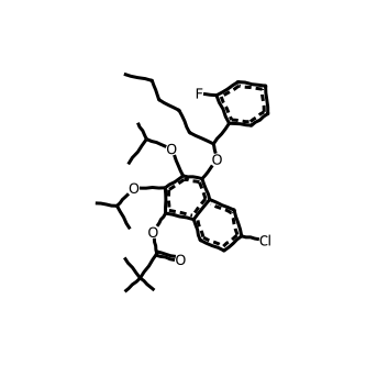 CCCCCC(Oc1c(OC(C)C)c(OC(C)C)c(OC(=O)C(C)(C)C)c2ccc(Cl)cc12)c1ccccc1F